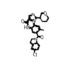 Cc1cc2c(cc1C(=O)N1CCc3cc(Cl)ccc31)[nH]c(=O)c1cnc(C3CCCOC3)n12